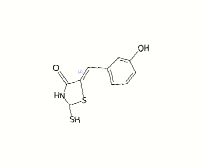 O=C1NC(S)S/C1=C\c1cccc(O)c1